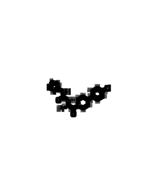 CC(C)[C@@H](NC(=O)Nc1nncs1)C(=O)N1CCC(c2ccc(Cl)cc2)CC1